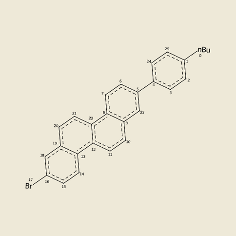 CCCCc1ccc(-c2ccc3c(ccc4c5ccc(Br)cc5ccc34)c2)cc1